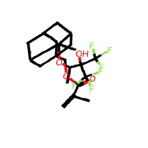 C=C(C)C(=O)OCC12CC3CC(C1)C(C)(OC(C)C(O)(C(F)(F)F)C(F)(F)F)C(C3)C2